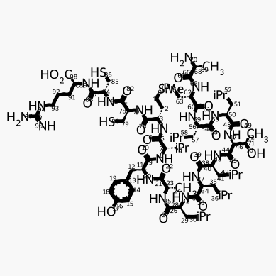 CSCC[C@H](NC(=O)[C@@H](NC(=O)[C@H](Cc1ccc(O)cc1)NC(=O)[C@H](C)NC(=O)[C@H](CC(C)C)NC(=O)[C@H](CC(C)C)NC(=O)[C@H](CC(C)C)NC(=O)[C@@H](NC(=O)[C@H](CC(C)C)NC(=O)[C@H](CC(C)C)NC(=O)[C@H](CC(C)C)NC(=O)[C@H](C)N)[C@@H](C)O)C(C)C)C(=O)N[C@@H](CS)C(=O)N[C@@H](CS)C(=O)N[C@@H](CCCNC(=N)N)C(=O)O